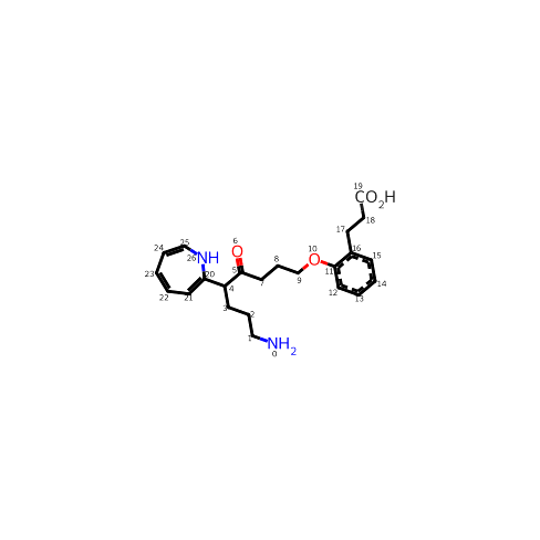 NCCCC(C(=O)CCCOc1ccccc1CCC(=O)O)C1=CC=CC=CN1